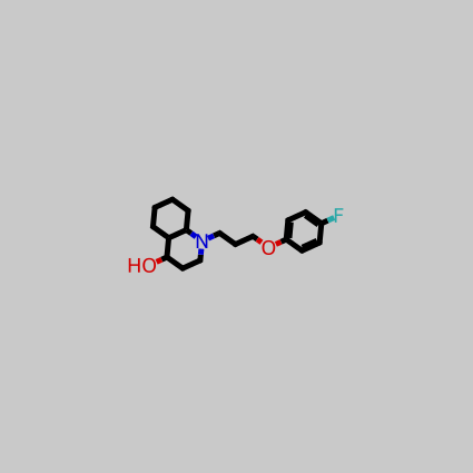 OC1CCN(CCCOc2ccc(F)cc2)C2CCCCC12